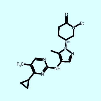 CCN1C[C@@H](n2ncc(Nc3ncc(C(F)(F)F)c(C4CC4)n3)c2C)CCC1=O